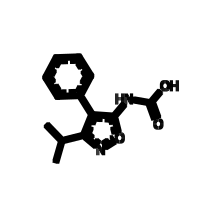 CC(C)c1noc(NC(=O)O)c1-c1ccccc1